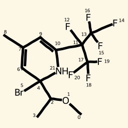 COC(C)C1(Br)[C]=C(C)C=C(C(F)(C(F)(F)F)C(F)(F)F)N1